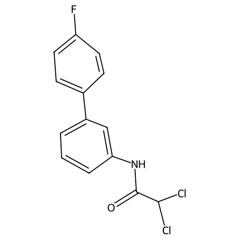 O=C(Nc1cccc(-c2ccc(F)cc2)c1)C(Cl)Cl